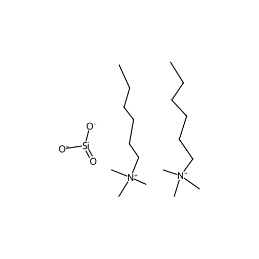 CCCCCC[N+](C)(C)C.CCCCCC[N+](C)(C)C.O=[Si]([O-])[O-]